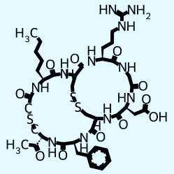 CCCCC[C@@H]1NC(=O)CSC[C@@H](C(C)=O)NC(=O)[C@H](Cc2ccccc2)NC(=O)[C@@H]2CSSC[C@H](NC1=O)C(=O)N[C@@H](CCCNC(=N)N)C(=O)NCC(=O)N[C@@H](CC(=O)O)C(=O)N2